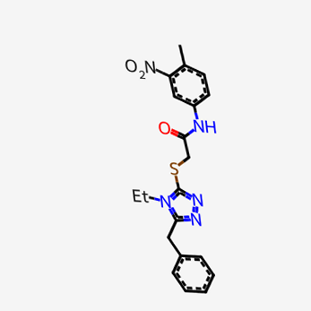 CCn1c(Cc2ccccc2)nnc1SCC(=O)Nc1ccc(C)c([N+](=O)[O-])c1